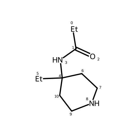 CCC(=O)NC1(CC)CCNCC1